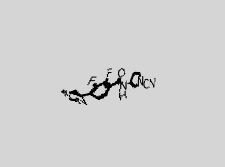 Cn1cnc(-c2ccc(C(=O)N[C@@H]3CCN(C#N)C3)c(F)c2F)c1